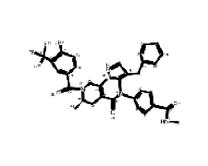 CNC(=O)c1ccc(-n2c(=O)c3c(n4ncc(Cc5ccccc5)c24)CN(C(=O)c2ccc(Br)c(C(F)(F)F)c2)[C@H](C)C3)cc1